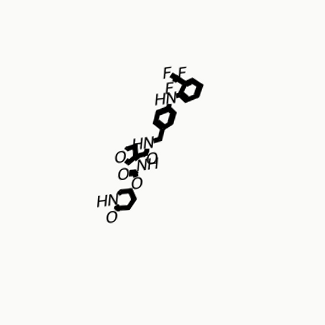 O=C1CC[C@H](OC(=O)NC2(C(=O)NCc3ccc(Nc4ccccc4C(F)(F)F)cc3)CCOC2)CN1